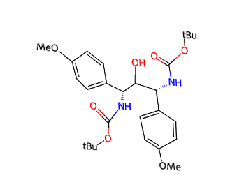 COc1ccc([C@@H](NC(=O)OC(C)(C)C)C(O)[C@H](NC(=O)OC(C)(C)C)c2ccc(OC)cc2)cc1